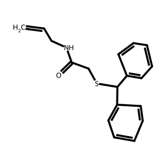 C=CCNC(=O)CSC(c1ccccc1)c1ccccc1